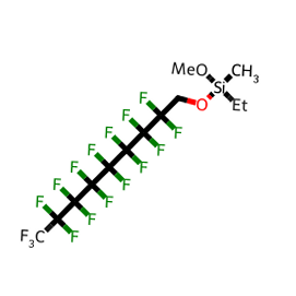 CC[Si](C)(OC)OCC(F)(F)C(F)(F)C(F)(F)C(F)(F)C(F)(F)C(F)(F)C(F)(F)C(F)(F)F